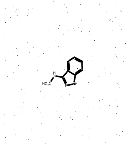 O=C(O)Nc1n[nH]c2ccccc12